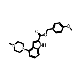 COc1ccc(COC(=O)c2cc3c(N4CCN(C)CC4)cccc3[nH]2)cc1